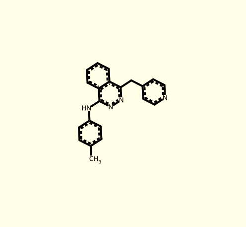 Cc1ccc(Nc2nnc(Cc3ccncc3)c3ccccc23)cc1